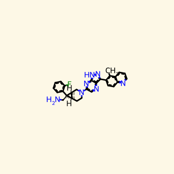 Cc1c(-c2n[nH]c3nc(N4CC[C@@H]5[C@H](C4)[C@@]5(CN)c4ccccc4F)cnc23)ccc2ncccc12